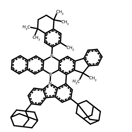 Cc1cc2c(cc1N1c3cc4ccccc4cc3B3c4c1cc1c(c4-c4cc(C56CC7CC(CC(C7)C5)C6)cc5c6cc(C78CC9CC(CC(C9)C7)C8)ccc6n3c45)C(C)(C)c3ccccc3-1)C(C)(C)CCC2(C)C